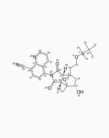 CC12OC(CCO[Si](C)(C)C(C)(C)C)(C[C@@H]1O)[C@H]1C(=O)N(c3ccc(C#N)c4ncccc34)C(=O)[C@H]12